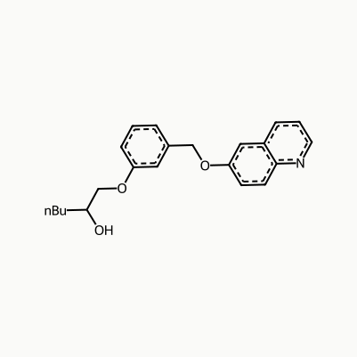 CCCCC(O)COc1cccc(COc2ccc3ncccc3c2)c1